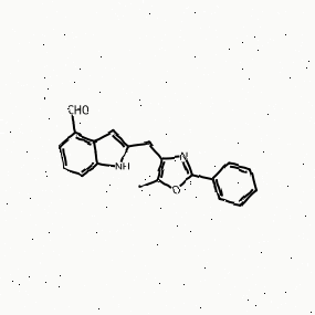 Cc1oc(-c2ccccc2)nc1Cc1cc2c(C=O)cccc2[nH]1